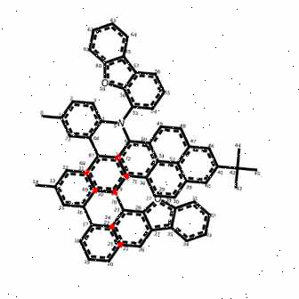 Cc1ccc(N(c2cc(N(c3ccc(C)cc3-c3ccccc3)c3cccc4c3oc3ccccc34)c3ccc4cc(C(C)(C)C)cc5ccc2c3c54)c2cccc3c2oc2ccccc23)c(-c2ccccc2)c1